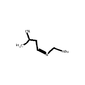 CCCCC/N=C\CC(C)C#N